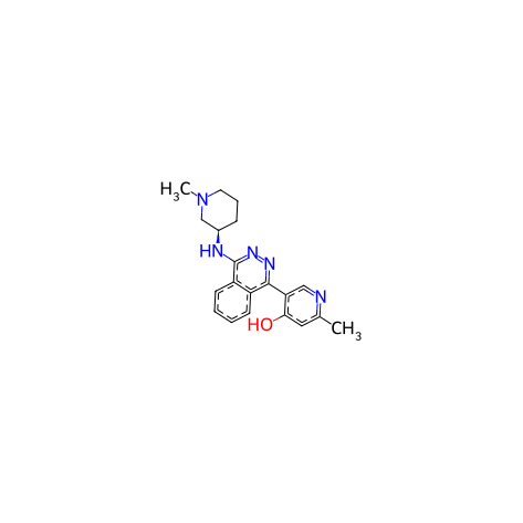 Cc1cc(O)c(-c2nnc(N[C@@H]3CCCN(C)C3)c3ccccc23)cn1